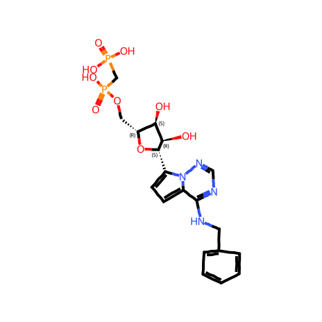 O=P(O)(O)CP(=O)(O)OC[C@H]1O[C@@H](c2ccc3c(NCc4ccccc4)ncnn23)[C@H](O)[C@@H]1O